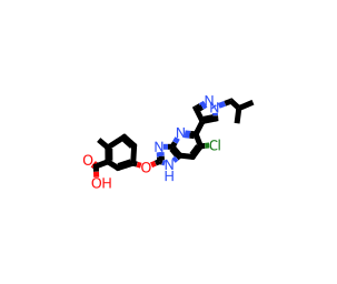 Cc1ccc(Oc2nc3nc(-c4cnn(CC(C)C)c4)c(Cl)cc3[nH]2)cc1C(=O)O